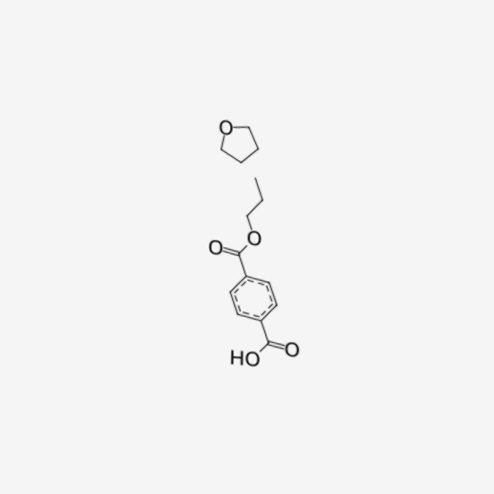 C1CCOC1.CCCOC(=O)c1ccc(C(=O)O)cc1